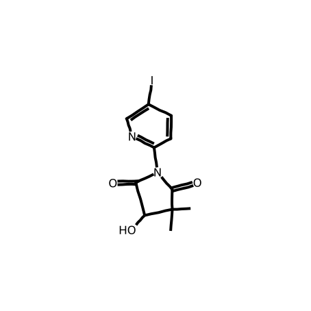 CC1(C)C(=O)N(c2ccc(I)cn2)C(=O)C1O